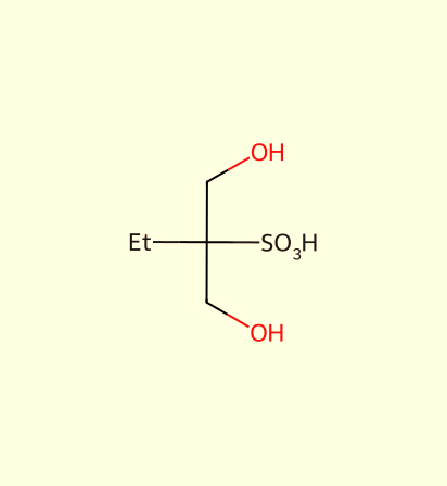 CCC(CO)(CO)S(=O)(=O)O